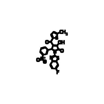 Cc1ccc(C(=O)C2=C(O)C(=O)N(c3nc4ccc(F)cc4s3)C2c2cccc([N+](=O)[O-])c2)s1